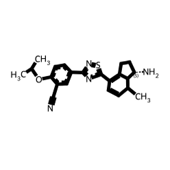 CC(C)Oc1ccc(-c2nsc(C3=C4CC[C@H](N)C4C(C)C=C3)n2)cc1C#N